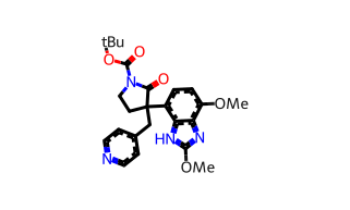 COc1nc2c(OC)ccc(C3(Cc4ccncc4)CCN(C(=O)OC(C)(C)C)C3=O)c2[nH]1